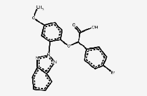 COc1ccc(OC(C(=O)O)c2ccc(Br)cc2)c(-n2nc3ccccc3n2)c1